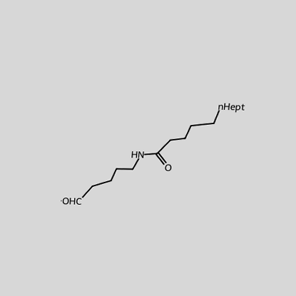 CCCCCCCCCCCC(=O)NCCCC[C]=O